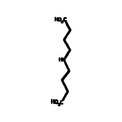 O=C(O)CCCNCCCC(=O)O